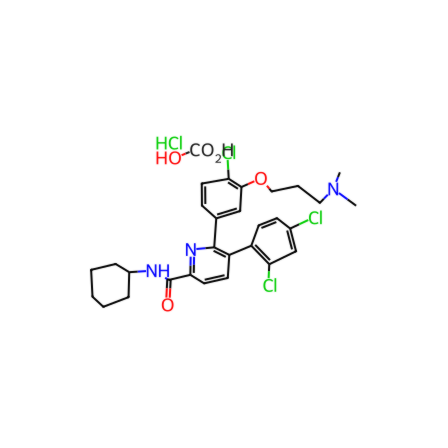 CN(C)CCCOc1cc(-c2nc(C(=O)NC3CCCCC3)ccc2-c2ccc(Cl)cc2Cl)ccc1Cl.Cl.O=C(O)O